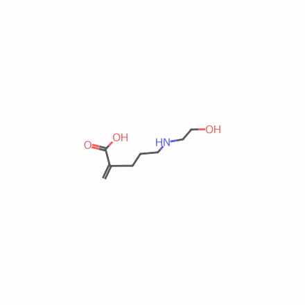 C=C(CCCNCCO)C(=O)O